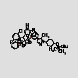 Cc1c(-c2cnc3[nH]cc(C(c4c(Cl)ccc(F)c4Cl)C(F)(S(=O)(=O)c4ccccc4)S(=O)(=O)c4ccccc4)c3c2)cnn1C1CCC(O[Si](C)(C)C(C)(C)C)CC1